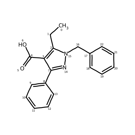 CCc1c(C(=O)O)c(-c2ccccc2)nn1Cc1ccccc1